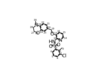 Cc1c(Cl)cccc1S(=O)(=O)Nc1ncccc1OCc1ccc2c(c1)OCCN2C